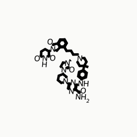 CN1CCN([C@@H]2CCCN(c3cnc(C(N)=O)c(Nc4ccc(C5(C)CCN(CCCCc6cccc7c6CN(C6CCC(=O)NC6=O)C7=O)CC5)cc4)n3)C2)C1=O